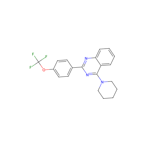 FC(F)(F)Oc1ccc(-c2nc(N3CCCCC3)c3ccccc3n2)cc1